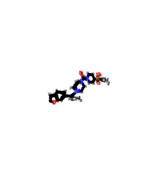 CC(c1ccc2c(c1)OCC2)N1CCN(C(=O)N2CCC(S(C)(=O)=O)CC2)CC1